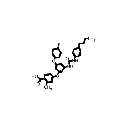 CCCCc1ccc(NC(=O)Nc2cc(Oc3ccc(F)cc3)cc(Oc3ccc(C(=O)O)c(C)c3)c2)cc1